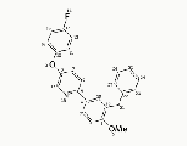 COc1ccc(-c2ccc(Oc3ccc(F)cc3)cn2)cc1Cc1ccccc1